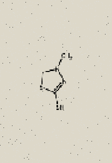 CN1CSC(S)=N1